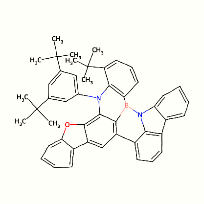 CC(C)(C)c1cc(N2c3c(cccc3C(C)(C)C)B3c4c(cc5c(oc6ccccc65)c42)-c2cccc4c5ccccc5n3c24)cc(C(C)(C)C)c1